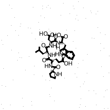 CC(C)C[C@H](NC(=O)[C@H](CCC(=O)O)NC(=O)[C@@H]1CCCN1)C(=O)N[C@@H](CC(=O)O)C(=O)N[C@@H](Cc1c[nH]c2ccccc12)C(=O)O